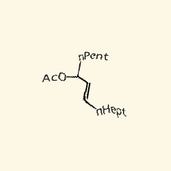 [CH2]CCCCCCC=CC(CCCCC)OC(C)=O